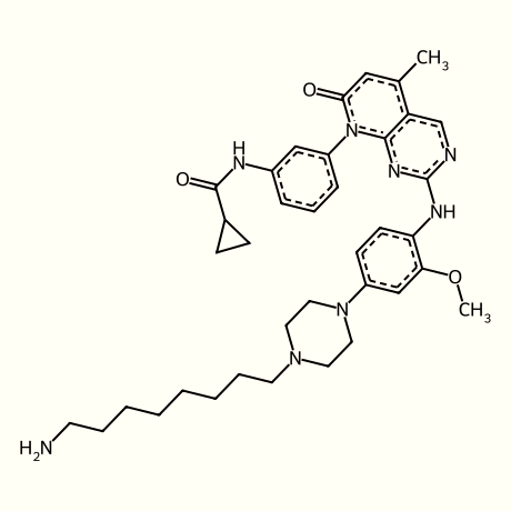 COc1cc(N2CCN(CCCCCCCCN)CC2)ccc1Nc1ncc2c(C)cc(=O)n(-c3cccc(NC(=O)C4CC4)c3)c2n1